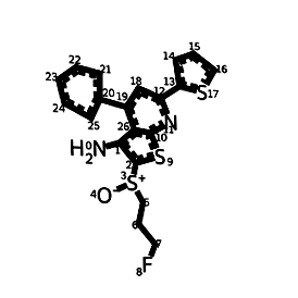 Nc1c([S+]([O-])CCCF)sc2nc(-c3cccs3)cc(-c3ccccc3)c12